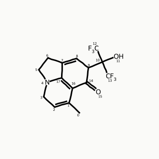 CC1=CCN2CCC3=CC(C(O)(C(F)(F)F)C(F)(F)F)C(=O)C1=C32